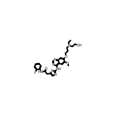 CCN(CCO)CCCOc1cc2ncnc(Nc3ncc(CC(=O)Nc4ccccc4F)s3)c2cc1OC